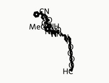 C#CCOCCOCCOCCOCCN1CCN(CCCNC(=O)c2ncn(-c3ncc(OC)c4c(C(=O)C(=O)N5CCC(=C(C#N)c6ccccc6)CC5)c[nH]c34)n2)CC1